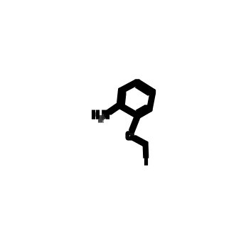 Nc1ccccc1OCI